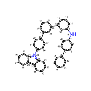 c1ccc(-c2ccc(Nc3cccc(-c4cccc(-c5ccc(-n6c7ccccc7c7ccccc76)cc5)c4)c3)cc2)cc1